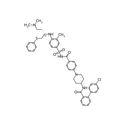 Cc1cc(S(=O)(=O)NC(=O)c2ccc(N3CCC(NC(=O)c4ccccc4-c4ccc(Cl)cc4)CC3)cc2)ccc1N[C@@H](CCN(C)C)CSc1ccccc1